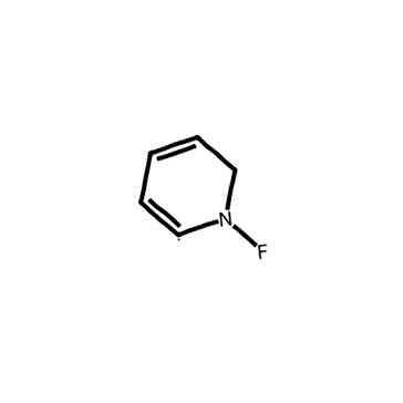 FN1[C]=CC=CC1